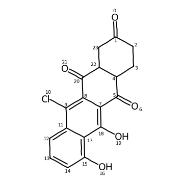 O=C1CCC2C(=O)c3c(c(Cl)c4cccc(O)c4c3O)C(=O)C2C1